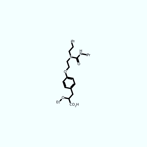 CCOC(Cc1ccc(OCCN(CCC(C)C)C(=O)NC(C)C)cc1)C(=O)O